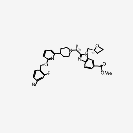 COC(=O)c1ccc2nc([C@H](C)N3CCC(c4cccc(OCc5ccc(Br)cc5F)n4)CC3)n(C[C@@H]3CCO3)c2c1